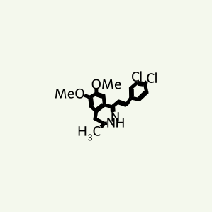 COc1cc2c(cc1OC)C(/C=C/c1ccc(Cl)c(Cl)c1)=NNC(C)C2